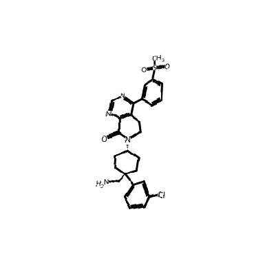 CS(=O)(=O)c1cccc(-c2ncnc3c2CCN([C@H]2CC[C@@](CN)(c4cccc(Cl)c4)CC2)C3=O)c1